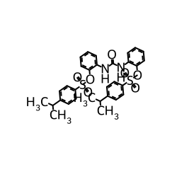 CC(C)c1ccc(S(=O)(=O)Oc2ccccc2NC(=O)Nc2ccccc2OS(=O)(=O)c2ccc(C(C)C)cc2)cc1